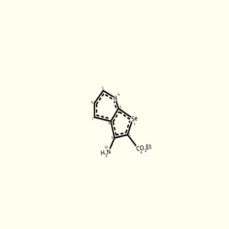 CCOC(=O)c1[se]c2ncccc2c1N